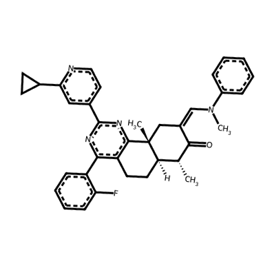 C[C@H]1C(=O)/C(=C\N(C)c2ccccc2)C[C@@]2(C)c3nc(-c4ccnc(C5CC5)c4)nc(-c4ccccc4F)c3CC[C@H]12